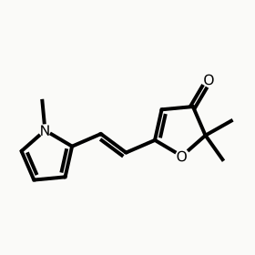 Cn1cccc1C=CC1=CC(=O)C(C)(C)O1